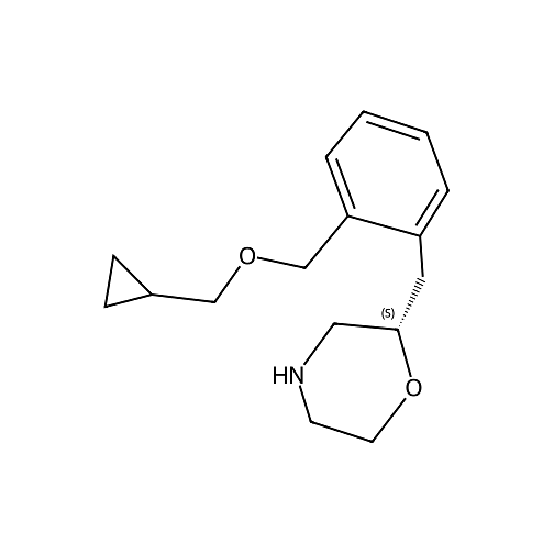 c1ccc(C[C@H]2CNCCO2)c(COCC2CC2)c1